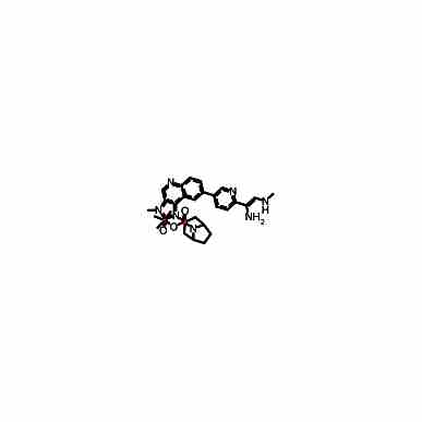 CN/C=C(\N)c1ccc(-c2ccc3ncc4c(c3c2)n(C2CC3CCC(C2)N3C(=O)OC(C)(C)C)c(=O)n4C)cn1